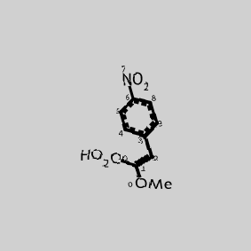 COC(=Cc1ccc([N+](=O)[O-])cc1)C(=O)O